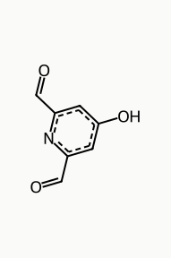 O=Cc1cc(O)cc(C=O)n1